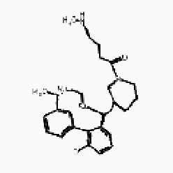 [CH2]COC(c1cccc(Cl)c1-c1cccc(CC)c1)C1CCCN(C(=O)CCCNC)C1